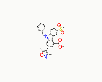 COC(=O)c1cc(-c2c(C)noc2C)cc2c1c1cc(S(C)(=O)=O)ccc1n2Cc1ccccc1